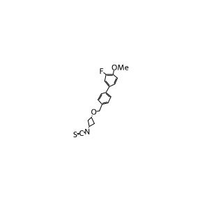 COc1ccc(-c2ccc(CO[C@H]3C[C@@H](N=C=S)C3)cc2)cc1F